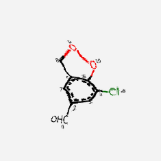 O=Cc1cc(Cl)c2c(c1)COO2